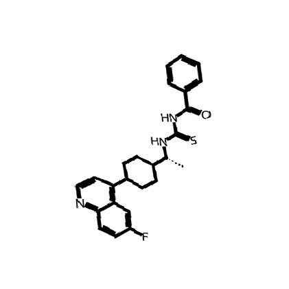 C[C@@H](NC(=S)NC(=O)c1ccccc1)C1CCC(c2ccnc3ccc(F)cc23)CC1